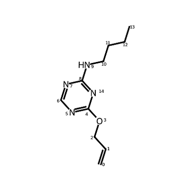 C=CCOc1ncnc(NCCCC)n1